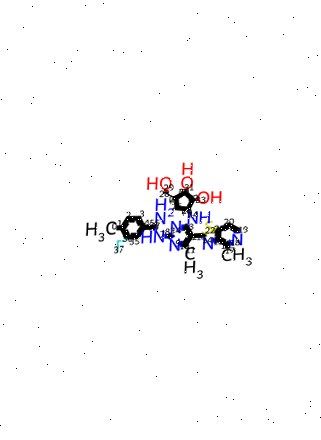 Cc1ccc([C@@H](N)Nc2nc(C)c(-c3nc4c(C)nccc4s3)c(N[C@@H]3C[C@H](CO)[C@@H](O)[C@H]3O)n2)cc1F